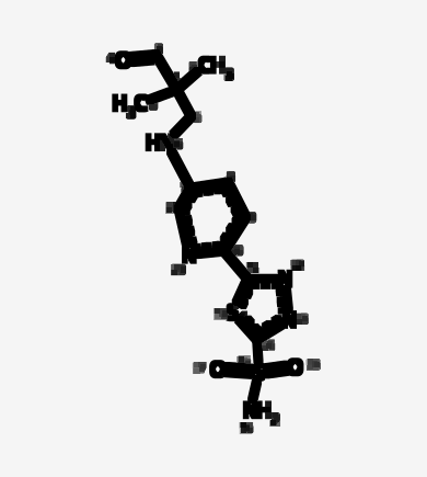 CC(C)(C=O)CNc1ccc(-c2nnc(S(N)(=O)=O)s2)nc1